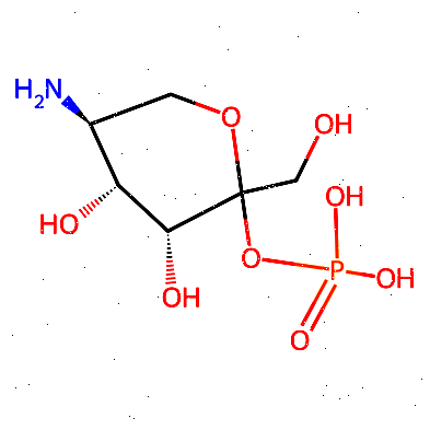 N[C@H]1COC(CO)(OP(=O)(O)O)[C@H](O)[C@@H]1O